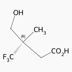 C[C@](CO)(CC(=O)O)C(F)(F)F